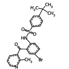 Cc1ncccc1C(=O)c1cc(Br)ccc1NS(=O)(=O)c1ccc(C(C)(C)C)cc1